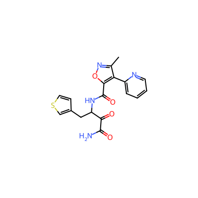 Cc1noc(C(=O)NC(Cc2ccsc2)C(=O)C(N)=O)c1-c1ccccn1